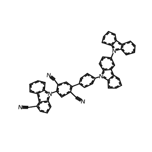 N#Cc1cc(-n2c3ccccc3c3c(C#N)cccc32)c(C#N)cc1-c1ccc(-n2c3ccccc3c3cc(-n4c5ccccc5c5ccccc54)ccc32)cc1